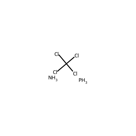 ClC(Cl)(Cl)Cl.N.P